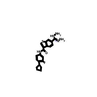 N/N=C(\NN)c1ccc2c(C(=O)Nc3ccc(C4CCCC4)c(F)c3)csc2c1